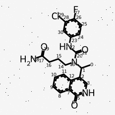 CC(c1c[nH]c(=O)c2ccccc12)N(CCCC(N)=O)C(=O)Nc1ccc(F)c(Cl)c1